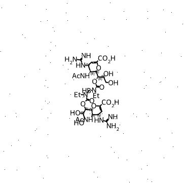 CCN(BN(CC)C(=O)O[C@@H]([C@@H]1OC(C(=O)O)=C[C@H](NC(=N)N)[C@H]1NC(C)=O)[C@H](O)CO)C(=O)O[C@@H]([C@@H]1OC(C(=O)O)=C[C@H](NC(=N)N)[C@H]1NC(C)=O)[C@H](O)CO